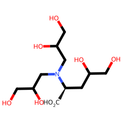 O=C(O)[C@H](CC(O)CO)N(CC(O)CO)CC(O)CO